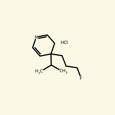 CC(C)C1(CCCF)C=CN=CC1.Cl